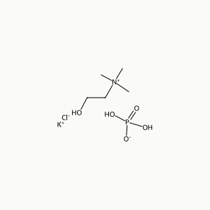 C[N+](C)(C)CCO.O=P([O-])(O)O.[Cl-].[K+]